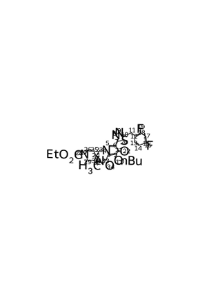 CCCCOc1c2n(cc(-c3nnc(Cc4ccc(F)cc4F)s3)c1=O)CC1(CCN(C(=O)OCC)CC1)N(C)C2=O